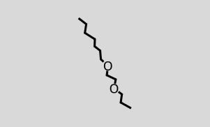 CCCCCCCOCCOCCC